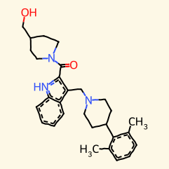 Cc1cccc(C)c1C1CCN(Cc2c(C(=O)N3CCC(CO)CC3)[nH]c3ccccc23)CC1